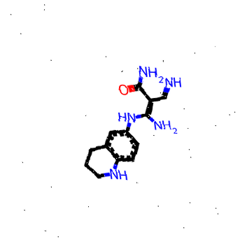 N=C/C(C(N)=O)=C(\N)Nc1ccc2c(c1)CCCN2